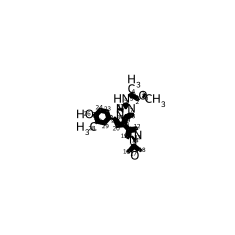 COC[C@H](C)Nc1ncc2c(-c3cnn(C4COC4)c3)cc([C@@H]3CC[C@@H](O)[C@H](C)C3)n2n1